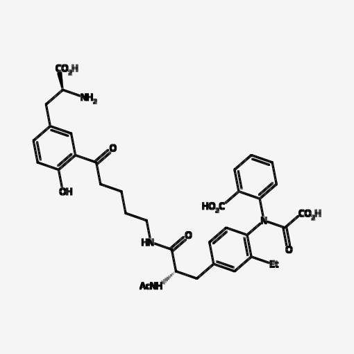 CCc1cc(C[C@H](NC(C)=O)C(=O)NCCCCC(=O)c2cc(C[C@H](N)C(=O)O)ccc2O)ccc1N(C(=O)C(=O)O)c1ccccc1C(=O)O